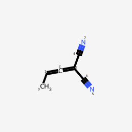 CC=C=C(C#N)C#N